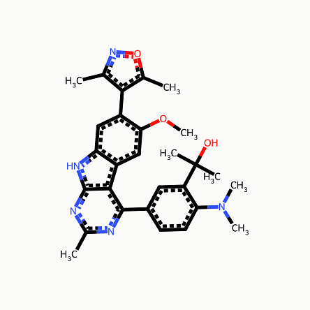 COc1cc2c(cc1-c1c(C)noc1C)[nH]c1nc(C)nc(-c3ccc(N(C)C)c(C(C)(C)O)c3)c12